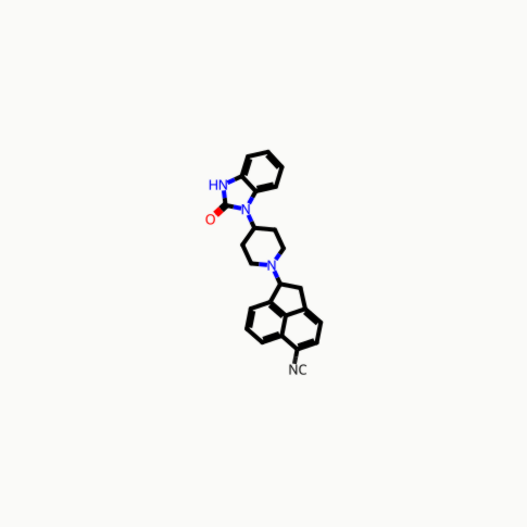 [C-]#[N+]c1ccc2c3c(cccc13)C(N1CCC(n3c(=O)[nH]c4ccccc43)CC1)C2